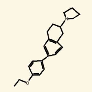 CCOc1ccc(-c2ccc3c(c2)CCC(N2CCCC2)C3)cc1